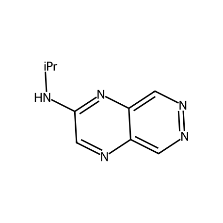 CC(C)Nc1cnc2cnncc2n1